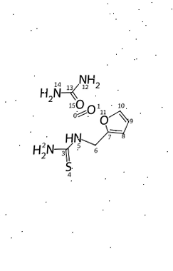 C=O.NC(=S)NCc1ccco1.NC(N)=O